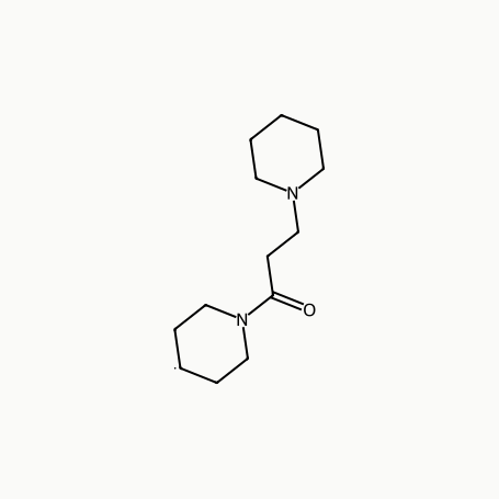 O=C(CCN1CCCCC1)N1CC[CH]CC1